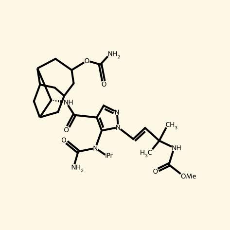 COC(=O)NC(C)(C)/C=C/n1ncc(C(=O)N[C@@H]2C3CC4CC(OC(N)=O)CC2C(C4)C3)c1N(C(N)=O)C(C)C